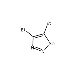 CCc1nn[nH]c1CC